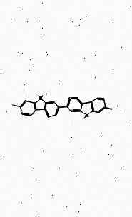 CC1(C)c2cc(Br)ccc2-c2ccc(-c3ccc4c(c3)C(C)(C)c3cc(I)ccc3-4)cc21